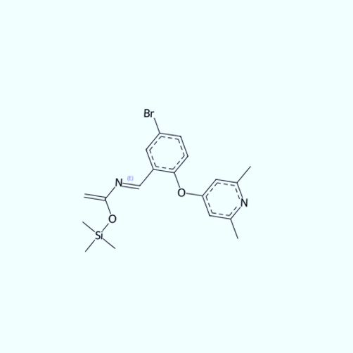 C=C(/N=C/c1cc(Br)ccc1Oc1cc(C)nc(C)c1)O[Si](C)(C)C